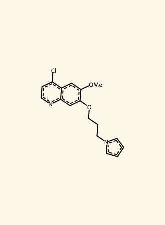 COc1cc2c(Cl)ccnc2cc1OCCCn1cccc1